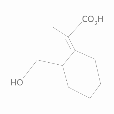 CC(C(=O)O)=C1CCCCC1CO